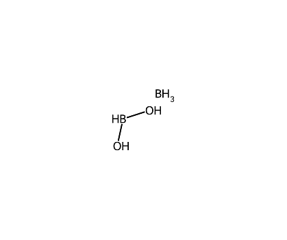 B.OBO